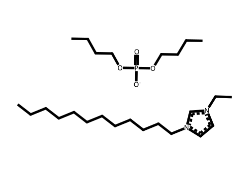 CCCCCCCCCCCC[n+]1ccn(CC)c1.CCCCOP(=O)([O-])OCCCC